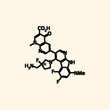 CNc1cc(F)c(F)c2c1[nH]c1ncc(-c3cnc4c(c3)c(=O)c(C(=O)O)cn4C)c(N3CC[C@](F)(CN)C3)c12